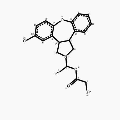 CC(C)CC(=O)OC(C(C)C)N1CC2c3ccccc3Oc3ccc(Cl)cc3C2C1